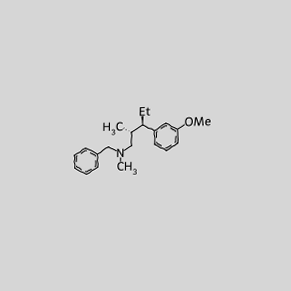 CC[C@@H](c1cccc(OC)c1)[C@@H](C)CN(C)Cc1ccccc1